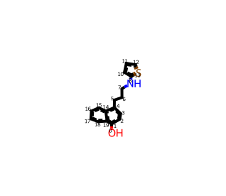 Oc1ccc(CCCNc2cccs2)c2ccccc12